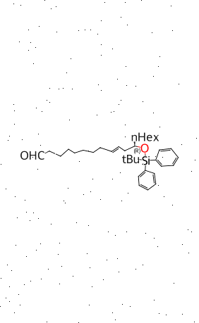 CCCCCC[C@H](CC=CCCCCCCCC=O)O[Si](c1ccccc1)(c1ccccc1)C(C)(C)C